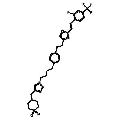 O=S1(=O)CCN(Cc2cn(CCCCc3ccc(OCc4coc(/C=C/c5ccc(C(F)(F)F)cc5F)n4)cc3)nn2)CC1